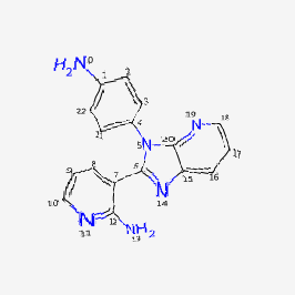 Nc1ccc(-n2c(-c3cccnc3N)nc3cccnc32)cc1